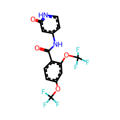 O=C(Nc1cc[nH]c(=O)c1)c1ccc(OC(F)(F)F)cc1OC(F)(F)F